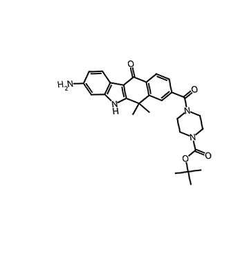 CC(C)(C)OC(=O)N1CCN(C(=O)c2ccc3c(c2)C(C)(C)c2[nH]c4cc(N)ccc4c2C3=O)CC1